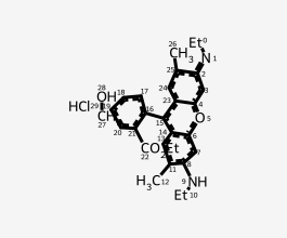 CC/N=c1/cc2oc3cc(NCC)c(C)cc3c(-c3ccccc3C(=O)OCC)c-2cc1C.CO.Cl